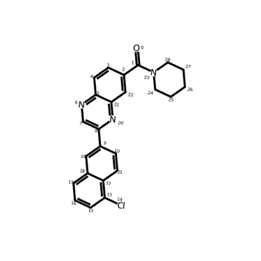 O=C(c1ccc2ncc(-c3ccc4c(Cl)cccc4c3)nc2c1)N1CCCCC1